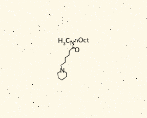 CCCCCCCCN(C)C(=O)CCCCCN1CCCCC1